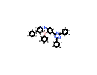 Nc1ccc(-c2nc(-c3ccccc3)nc(-c3ccccc3)n2)cc1B(c1ccccc1)c1cccc(-c2ccccc2)c1